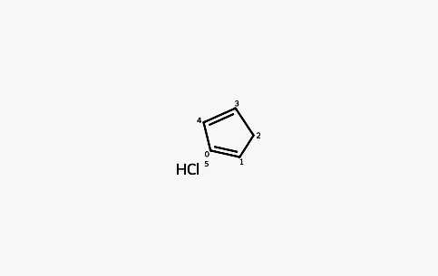 C1=CCC=C1.Cl